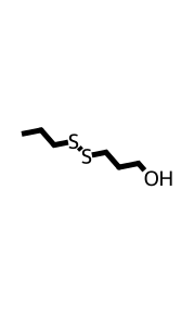 CCCSSCCCO